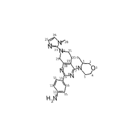 CC1COCCN1c1nc(-c2ccc(N)cc2)nc2c1CCN(c1nccn1C)C2